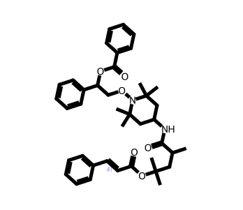 CC(CC(C)(C)OC(=O)/C=C/c1ccccc1)C(=O)NC1CC(C)(C)N(OCC(OC(=O)c2ccccc2)c2ccccc2)C(C)(C)C1